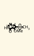 COc1c(C2OC(C)O2)cn2nc[nH]c(=O)c12